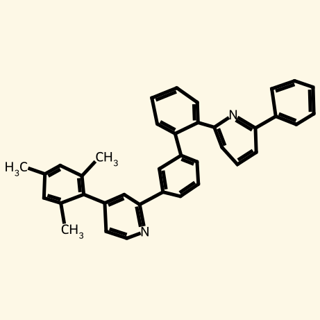 Cc1cc(C)c(-c2ccnc(-c3cccc(-c4ccccc4-c4cccc(-c5ccccc5)n4)c3)c2)c(C)c1